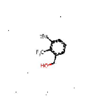 CC(C)(C)c1cccc([CH]O)c1C(F)(F)F